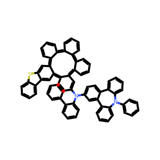 c1ccc(-c2ccccc2N(c2ccc3c(c2)-c2ccccc2N(c2ccccc2)c2ccccc2-3)c2ccc3c(c2)c2ccccc2c2ccccc2c2ccccc2c2cc4sc5ccccc5c4cc32)cc1